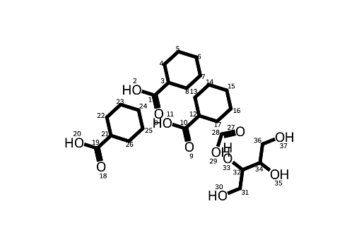 O=C(O)C1CCCCC1.O=C(O)C1CCCCC1.O=C(O)C1CCCCC1.O=CO.OCC(O)C(O)CO